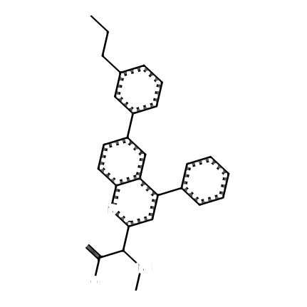 CCCc1cccc(-c2ccc3nc(C(NC)C(=O)O)cc(-c4ccccc4)c3c2)c1